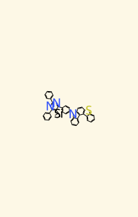 C[Si]1(C)c2cc(-n3c4ccccc4c4c5c(ccc43)sc3ccccc35)ccc2-c2nc(-c3ccccc3)nc(-c3ccccc3)c21